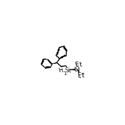 CCN(CC)[SiH2]CCC(c1ccccc1)c1ccccc1